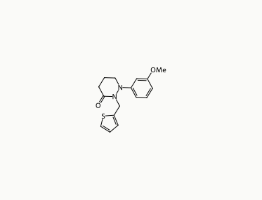 COc1cccc(N2CCCC(=O)N2Cc2cccs2)c1